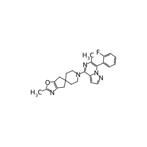 Cc1nc2c(o1)CC1(CCN(c3nc(C)c(-c4ccccc4F)n4nccc34)CC1)C2